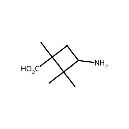 CC1(C(=O)O)CC(N)C1(C)C